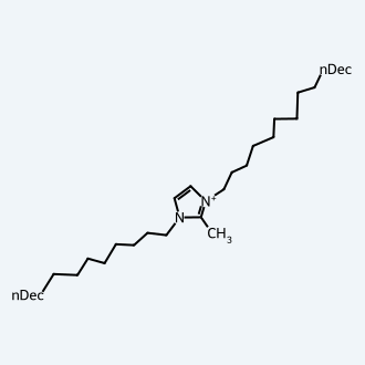 CCCCCCCCCCCCCCCCCCC[n+]1ccn(CCCCCCCCCCCCCCCCCC)c1C